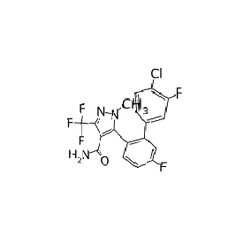 Cn1nc(C(F)(F)F)c(C(N)=O)c1-c1ccc(F)cc1-c1ccc(Cl)c(F)c1